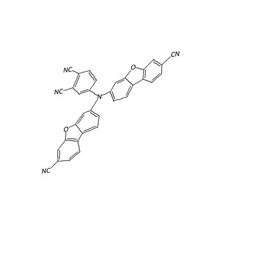 N#Cc1ccc2c(c1)oc1cc(N(c3ccc(C#N)c(C#N)c3)c3ccc4c(c3)oc3cc(C#N)ccc34)ccc12